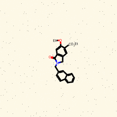 CCOC(=O)c1cc2c(cc1OCC)C(=O)N(Cc1ccc3ccccc3c1)C2